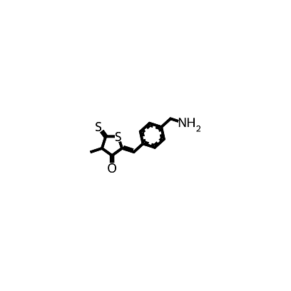 CC1C(=O)C(=Cc2ccc(CN)cc2)SC1=S